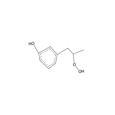 CC(Cc1cccc(O)c1)OO